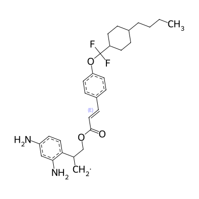 [CH2]C(COC(=O)/C=C/c1ccc(OC(F)(F)C2CCC(CCCC)CC2)cc1)c1ccc(N)cc1N